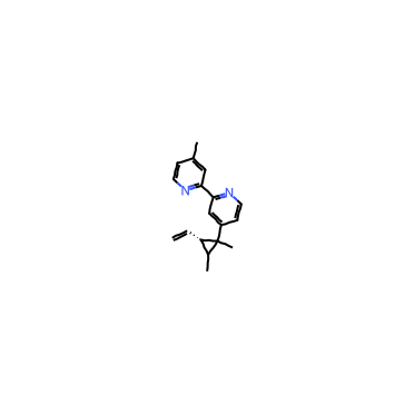 C=C[C@H]1C(C)C1(C)c1ccnc(-c2cc(C)ccn2)c1